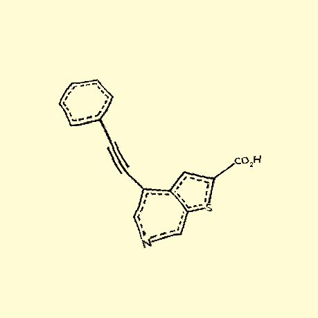 O=C(O)c1cc2c(C#Cc3ccccc3)cncc2s1